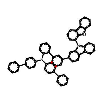 c1ccc(-c2ccc(N(c3ccc(-c4ccccc4)cc3)c3ccccc3-c3cccc(-c4ccc5c6ccccc6n(-c6cccc7c6oc6ccccc67)c5c4)c3)cc2)cc1